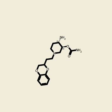 NC(=O)O[C@H]1CN(CCC2COc3ccccc3O2)CC[C@@H]1N